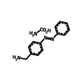 NC(=O)O.NCc1ccc(N=Nc2ccccc2)cc1